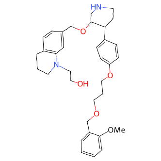 COc1ccccc1COCCCOc1ccc(C2CCNCC2OCc2ccc3c(c2)N(CCO)CCC3)cc1